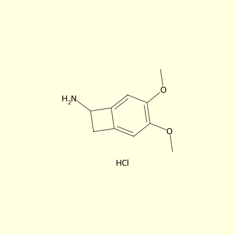 COc1cc2c(cc1OC)C(N)C2.Cl